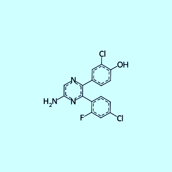 Nc1cnc(-c2ccc(O)c(Cl)c2)c(-c2ccc(Cl)cc2F)n1